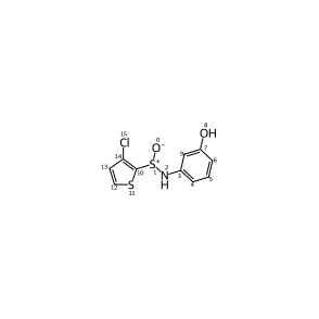 [O-][S+](Nc1cccc(O)c1)c1sccc1Cl